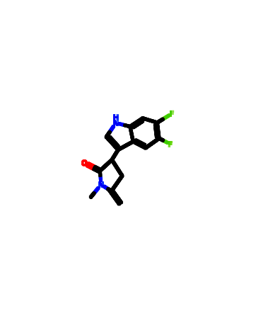 C=C1CC(c2c[nH]c3cc(F)c(F)cc23)C(=O)N1C